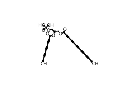 C#CC#CC#CC#CC#CC#CC(=O)OC[C@H](COP(=O)(O)O)OC(=O)C#CC#CC#CC#C